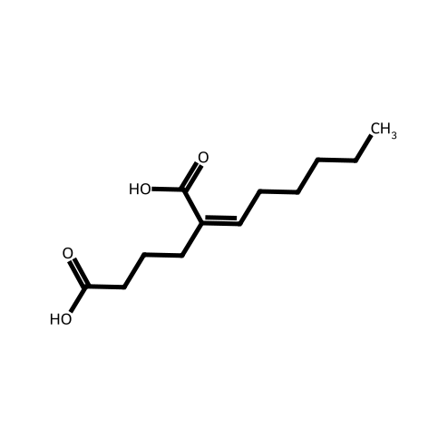 CCCCCC=C(CCCC(=O)O)C(=O)O